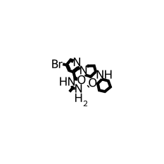 COC1CN(c2ncc(Br)cc2C(=O)NC(C)N)CCC1NC1CCCCC1